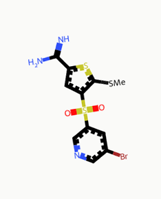 CSc1sc(C(=N)N)cc1S(=O)(=O)c1cncc(Br)c1